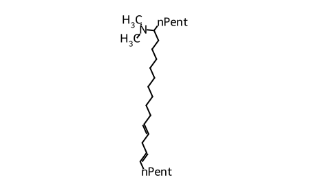 CCCCCC=CCC=CCCCCCCCCCC(CCCCC)N(C)C